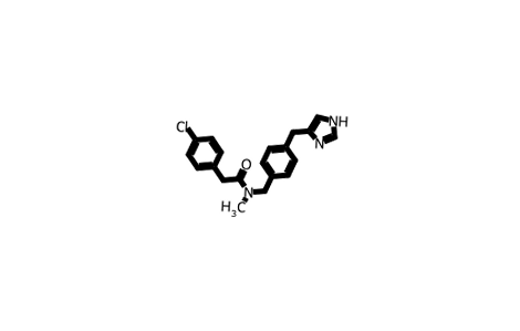 CN(Cc1ccc(Cc2c[nH]cn2)cc1)C(=O)Cc1ccc(Cl)cc1